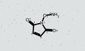 NON1C(=O)C=CC1=O